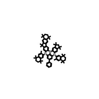 Cc1cc2c(cc1N1c3cc4c(cc3B3c5cc6c(cc5N(c5cc7c(cc5C)C(C)(C)CCC7(C)C)c5cc(-c7ccccc7)cc1c53)C(C)(C)c1cc3c(cc1-6)C(C)(C)CCC3(C)C)C(C)(C)CC4(C)C)C(C)(C)CCC2(C)C